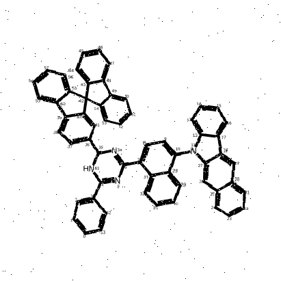 c1ccc(C2=NC(c3ccc(-n4c5ccccc5c5cc6ccccc6cc54)c4ccccc34)=NC(c3ccc4c(c3)C3(c5ccccc5-c5ccccc53)c3ccccc3-4)N2)cc1